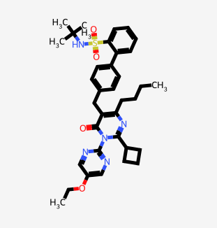 CCCCc1nc(C2CCC2)n(-c2ncc(OCC)cn2)c(=O)c1Cc1ccc(-c2ccccc2S(=O)(=O)NC(C)(C)C)cc1